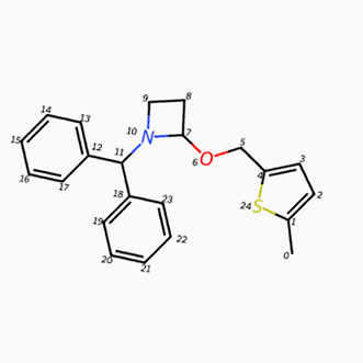 Cc1ccc(COC2CCN2C(c2ccccc2)c2ccccc2)s1